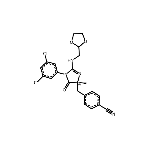 C[C@]1(Cc2ccc(C#N)cc2)N=C(NCC2OCCO2)N(c2cc(Cl)cc(Cl)c2)C1=O